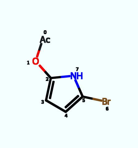 CC(=O)Oc1ccc(Br)[nH]1